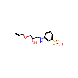 C=CCOCC(O)CNc1cccc(S(=O)(=O)O)c1